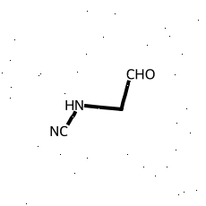 N#CNCC=O